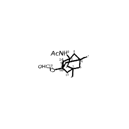 CC(=O)NC12CC3(C)CC(C)(C1)CC(OC=O)(C3)C2